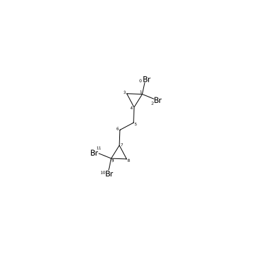 BrC1(Br)CC1CCC1CC1(Br)Br